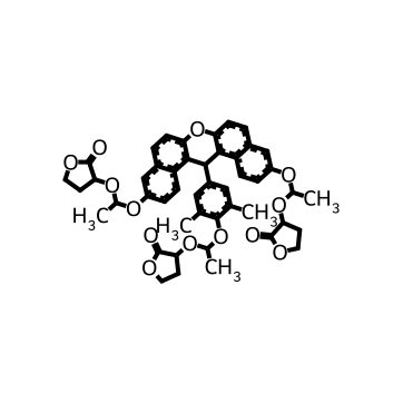 Cc1cc(C2c3c(ccc4cc(OC(C)OC5CCOC5=O)ccc34)Oc3ccc4cc(OC(C)OC5CCOC5=O)ccc4c32)cc(C)c1OC(C)OC1CCOC1=O